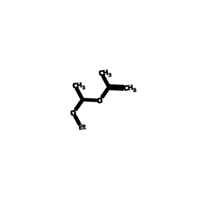 [CH2]COC(C)OC(=C)C